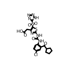 O=C(O)Cc1nc(NC(=O)Nc2ccc(Cl)cc2C(=O)C2CCCC2)sc1S(=O)(=O)c1nnn[nH]1